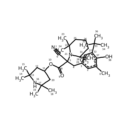 Cc1cc(CC(C#N)(C(=O)OC2CC(C)(C)NC(C)(C)C2)N2C(C)(C)CCCC2(C)C)cc(C(C)(C)C)c1O